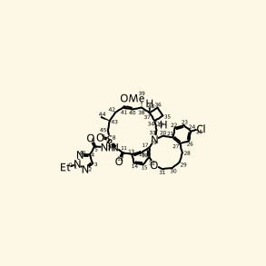 CCn1ncc(C(=O)NS2(=O)=NC(=O)c3ccc4c(c3)N(Cc3ccc(Cl)cc3CCCCO4)C[C@@H]3CC[C@H]3[C@@H](OC)/C=C/C[C@H](C)C2)n1